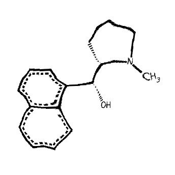 CN1CCC[C@H]1[C@H](O)c1cccc2ccccc12